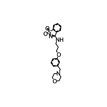 O=S1(=O)N=C(NCCCOc2cccc(CN3CCOCC3)c2)c2ccccc21